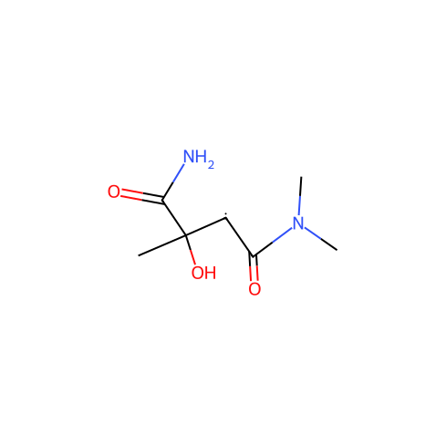 CN(C)C(=O)[CH]C(C)(O)C(N)=O